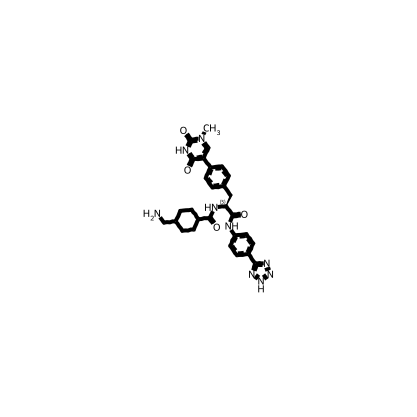 Cn1cc(-c2ccc(C[C@H](NC(=O)C3CCC(CN)CC3)C(=O)Nc3ccc(-c4nn[nH]n4)cc3)cc2)c(=O)[nH]c1=O